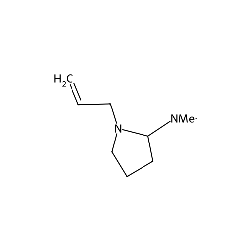 C=CCN1CCCC1[N]C